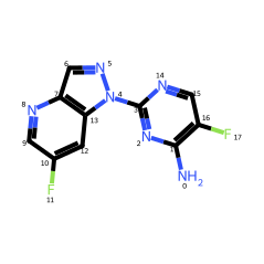 Nc1nc(-n2ncc3ncc(F)cc32)ncc1F